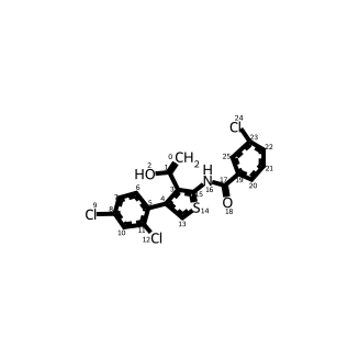 C=C(O)c1c(-c2ccc(Cl)cc2Cl)csc1NC(=O)c1cccc(Cl)c1